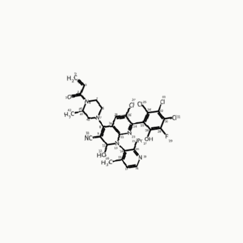 C=CC(=O)N1CCN(C2=C(C#N)C(O)N(c3c(C)ccnc3C(C)C)c3nc(-c4c(O)c(F)c(Cl)c(Cl)c4Cl)c(Cl)cc32)C[C@H]1C